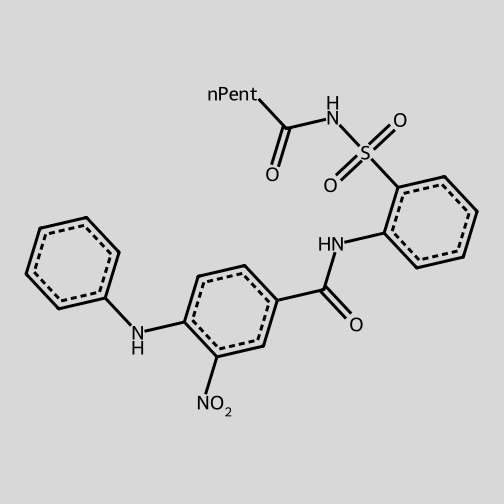 CCCCCC(=O)NS(=O)(=O)c1ccccc1NC(=O)c1ccc(Nc2ccccc2)c([N+](=O)[O-])c1